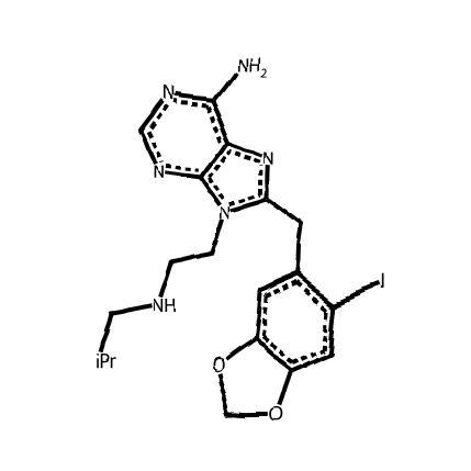 CC(C)CNCCn1c(Cc2cc3c(cc2I)OCO3)nc2c(N)ncnc21